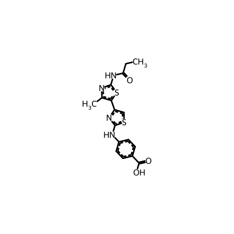 CCC(=O)Nc1nc(C)c(-c2csc(Nc3ccc(C(=O)O)cc3)n2)s1